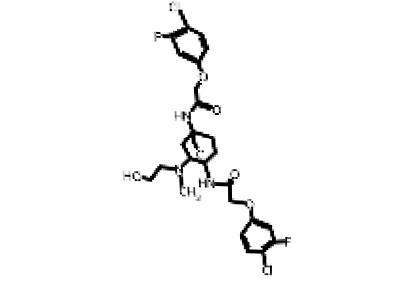 CN(CCO)C1CC2(NC(=O)COc3ccc(Cl)c(F)c3)CCC1(NC(=O)COc1ccc(Cl)c(F)c1)CC2